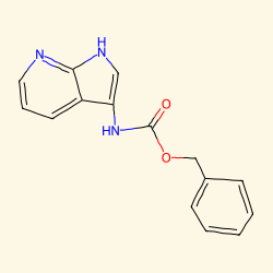 O=C(Nc1c[nH]c2ncccc12)OCc1ccccc1